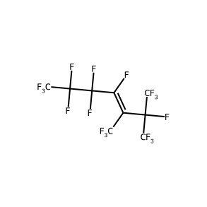 FC(=C(C(F)(F)F)C(F)(C(F)(F)F)C(F)(F)F)C(F)(F)C(F)(F)C(F)(F)F